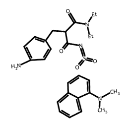 CCN(CC)C(=O)C(Cc1ccc(N)cc1)C(=O)N=S(=O)=O.CN(C)c1cccc2ccccc12